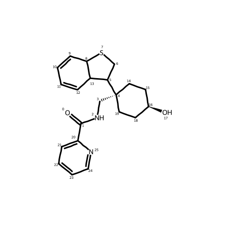 O=C(NC[C@]1(C2CSC3C=CC=CC32)CC[C@@H](O)CC1)c1ccccn1